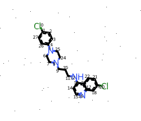 Clc1ccc(N2CCN(CCCNc3ccnc4cc(Cl)ccc34)CC2)cc1